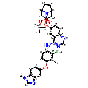 Cc1c(Oc2ccc3c(c2)ncn3C)ccc(Nc2ncnc3ccc(OC4CC5CCC(C4)N5C(=O)OC(C)(C)C)cc23)c1F